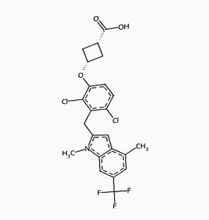 Cc1cc(C(F)(F)F)cc2c1cc(Cc1c(Cl)ccc(O[C@H]3C[C@@H](C(=O)O)C3)c1Cl)n2C